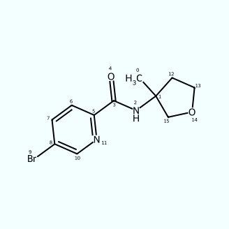 CC1(NC(=O)c2ccc(Br)cn2)CCOC1